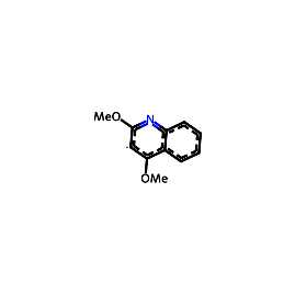 COc1[c]c(OC)c2ccccc2n1